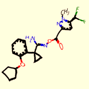 Cn1nc(C(=O)O/N=C(\N)C2(c3ccccc3OC3CCCC3)CC2)cc1C(F)F